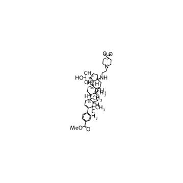 COC(=O)c1ccc(C2=CC[C@]3(C)[C@H]4CC[C@@H]5[C@H]6[C@H](C(C)(C)O)CC[C@]6(NCCN6CCS(=O)(=O)CC6)CC[C@@]5(C)[C@]4(C)CC[C@H]3C2(C)C)cc1